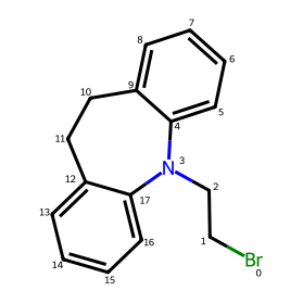 BrCCN1c2ccccc2CCc2ccccc21